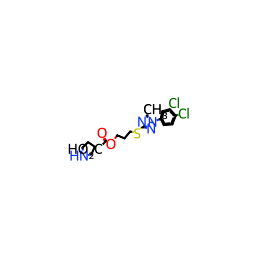 C1CCNC1.Cc1nc(SCCCOC(=O)C(=O)O)nn1-c1ccc(Cl)c(Cl)c1